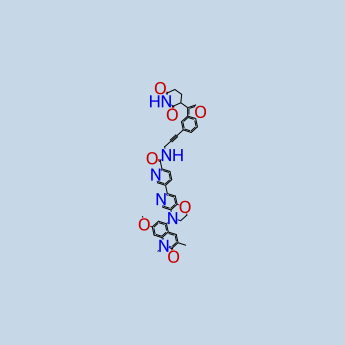 COc1cc(N2CCOc3cc(-c4ccc(C(=O)NCC#Cc5ccc6occ(C7CCC(=O)NC7=O)c6c5)nc4)ncc32)c2cc(C)c(=O)n(C)c2c1